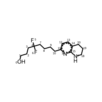 OCCCC(F)(F)CCCCc1ccc2c(n1)NCCC2